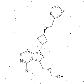 Nc1ncnc2c1c(COCO)nn2[C@H]1C[C@H](OCc2ccccc2)C1